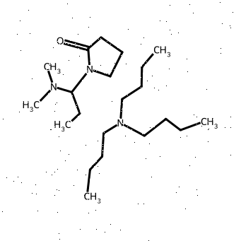 CCC(N(C)C)N1CCCC1=O.CCCCN(CCCC)CCCC